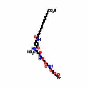 CC(C)C(=O)COCCOCCNC(=O)COCCOCCNC(=O)CCC(NC(=O)C1CCC(CNC(=O)CCCCCCCCCCCCCCCCCCC(=O)O)CC1)C(=O)O